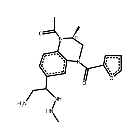 CNNC(CN)c1ccc2c(c1)N(C(=O)c1ccco1)C[C@H](C)N2C(C)=O